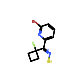 FC1(/C(=N\S)c2cccc(Br)n2)CCC1